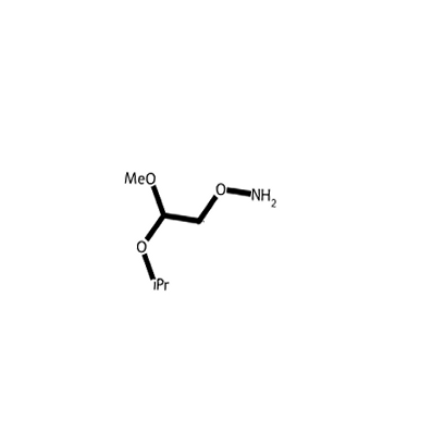 [CH2]C(C)OC([CH]ON)OC